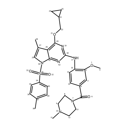 COc1cc(C(=O)N2CCN(C)CC2)ccc1Nc1nc(OCC2CC2)c2c(C)cn(S(=O)(=O)c3ccc(C)cc3)c2n1